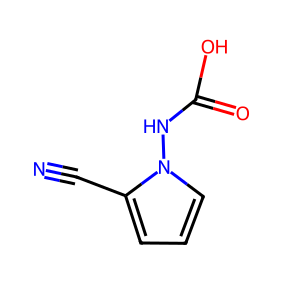 N#Cc1cccn1NC(=O)O